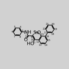 O=C(Nc1ccccc1)C1=C(O)c2cccc(-c3ccccc3)c2OS1